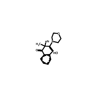 CCCC1(C)C(=O)c2ccccc2C=C1N1CCOCC1.Cl